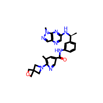 Cc1cc(C(=O)Nc2cccc([C@H](C)Nc3cnc4cnn(C)c4n3)c2)cnc1N1CC2(COC2)C1